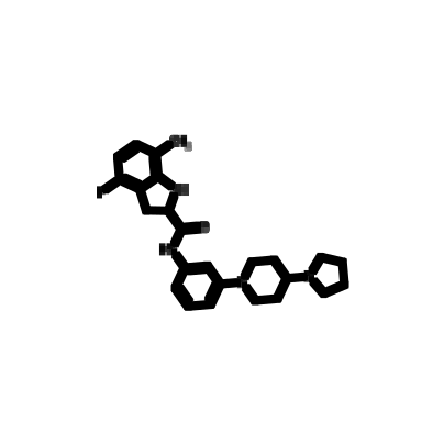 Cc1ccc(F)c2c1NC(C(=O)Nc1cccc(N3CCC(N4CCCC4)CC3)c1)C2